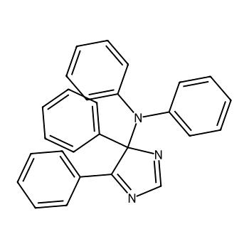 C1=NC(c2ccccc2)(N(c2ccccc2)c2ccccc2)C(c2ccccc2)=N1